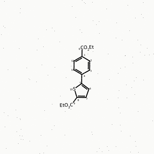 CCOC(=O)c1ccc(-c2ccc(C(=O)OCC)s2)cc1